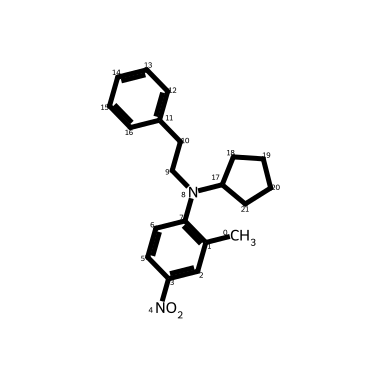 Cc1cc([N+](=O)[O-])ccc1N(CCc1ccccc1)C1CCCC1